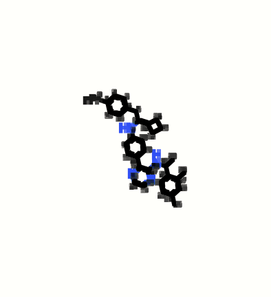 CCCc1ccc(CC(Nc2ccc(-c3nccnc3NC(C)c3ccc(C)cc3C)cc2)=C2CCC2)cc1